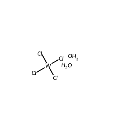 O.O.[Cl][W]([Cl])([Cl])[Cl]